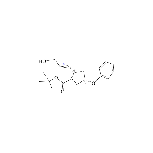 CC(C)(C)OC(=O)N1C[C@@H](Oc2ccccc2)C[C@H]1/C=C/CO